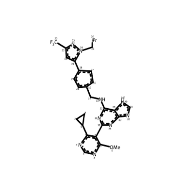 COc1ncnc(C2CC2)c1-c1nc(NCc2ccc(-c3cc(C(F)(F)F)nn3CC(C)C)cc2)c2[nH]cnc2n1